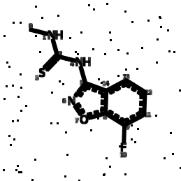 CNC(=S)Nc1noc2c(F)cccc12